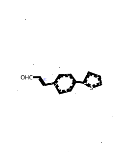 O=C/C=C/c1ccc(-c2cccs2)cc1